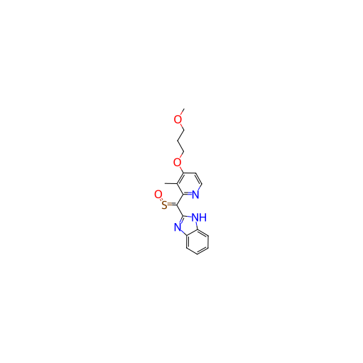 COCCCOc1ccnc(C(=S=O)c2nc3ccccc3[nH]2)c1C